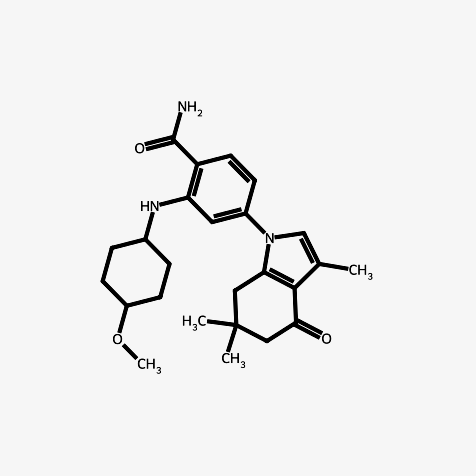 COC1CCC(Nc2cc(-n3cc(C)c4c3CC(C)(C)CC4=O)ccc2C(N)=O)CC1